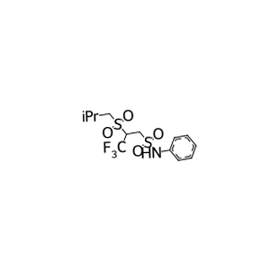 CC(C)CS(=O)(=O)C(CS(=O)(=O)Nc1ccccc1)C(F)(F)F